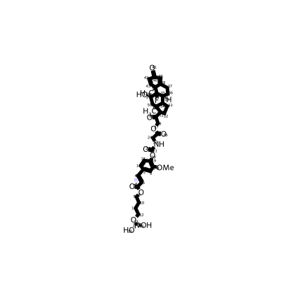 COc1cc(/C=C/C(=O)OCCCCON(O)O)ccc1OC(=O)NCC(=O)OCC(=O)C1CCC2[C@@H]3CCC4=CC(=O)C=C[C@]4(C)C3(F)[C@@H](O)C[C@]12C